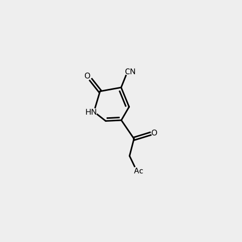 CC(=O)CC(=O)c1c[nH]c(=O)c(C#N)c1